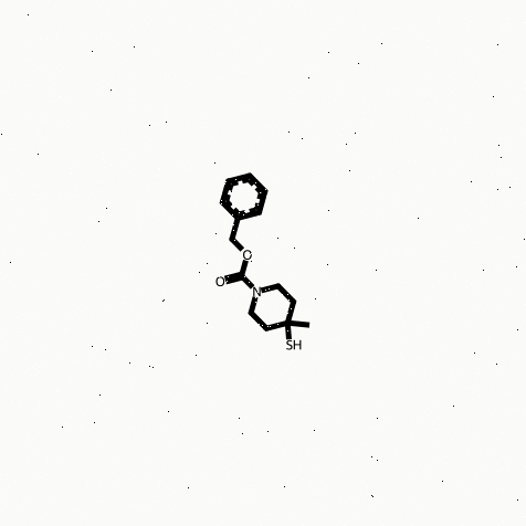 CC1(S)CCN(C(=O)OCc2ccccc2)CC1